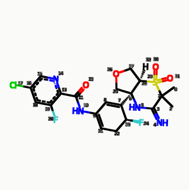 CC1(C)C(=N)N[C@@]2(C3=CC(NC(=O)c4ncc(Cl)cc4F)=CC[C@@H]3F)COC[C@H]2S1(=O)=O